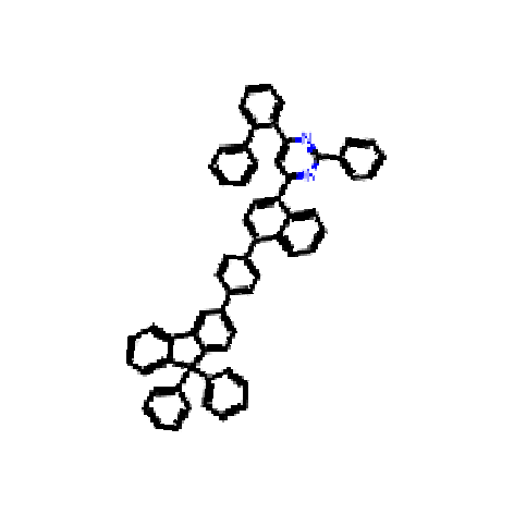 c1ccc(-c2nc(-c3ccccc3-c3ccccc3)cc(-c3ccc(-c4ccc(-c5ccc6c(c5)-c5ccccc5C6(c5ccccc5)c5ccccc5)cc4)c4ccccc34)n2)cc1